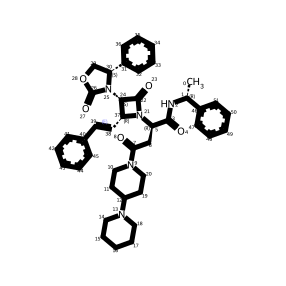 C[C@@H](NC(=O)[C@@H](CC(=O)N1CCC(N2CCCCC2)CC1)N1C(=O)[C@@H](N2C(=O)OC[C@@H]2c2ccccc2)[C@H]1/C=C/c1ccccc1)c1ccccc1